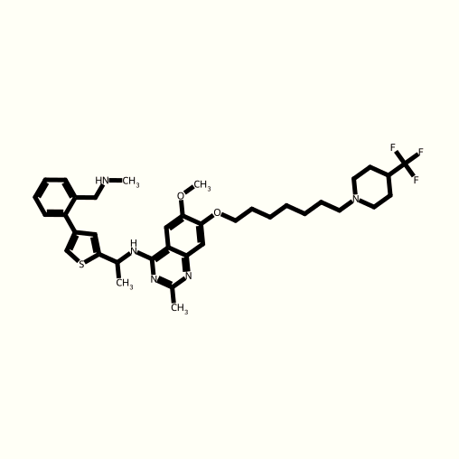 CNCc1ccccc1-c1csc(C(C)Nc2nc(C)nc3cc(OCCCCCCCN4CCC(C(F)(F)F)CC4)c(OC)cc23)c1